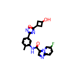 Cc1ccc(-c2noc(C3CC(O)C3)n2)cc1NC(=O)c1cnc2ccc(F)cn12